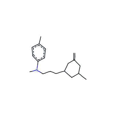 C=C1CC(C)CC(CCCN(C)c2ccc(C)cc2)C1